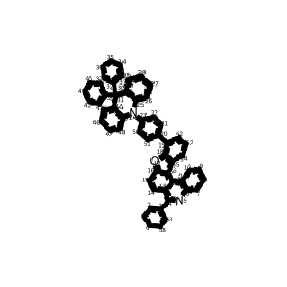 c1ccc(-c2nc3ccccc3c3c2ccc2oc4c(-c5ccc(N6c7ccccc7C(c7ccccc7)(c7ccccc7)c7ccccc76)cc5)cccc4c23)cc1